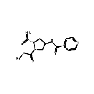 CC(C)(C)OC(=O)N1C[C@H](NC(=O)c2ccncc2)C[C@H]1C(N)=O